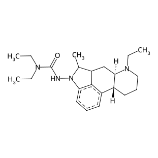 CCN(CC)C(=O)NN1c2cccc3c2C(C[C@@H]2[C@@H]3CCCN2CC)C1C